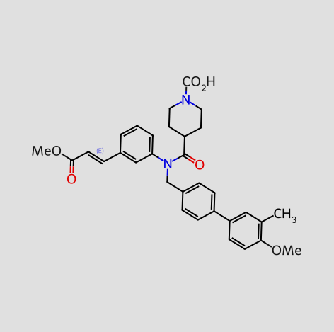 COC(=O)/C=C/c1cccc(N(Cc2ccc(-c3ccc(OC)c(C)c3)cc2)C(=O)C2CCN(C(=O)O)CC2)c1